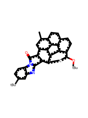 Cc1cc2c3c(=O)n4c5ccc(C(C)(C)C)cc5nc4c3c3cc(OC(C)(C)C)c4ccc5ccc1c1c5c4c3c21